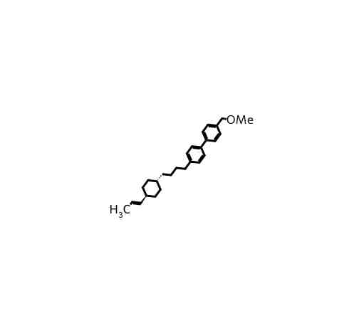 CC=C[C@H]1CC[C@H](CCCCc2ccc(-c3ccc(COC)cc3)cc2)CC1